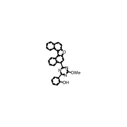 COc1nc(-c2ccccc2O)nc(-c2cc3oc4ccc5ccccc5c4c3c3ccccc23)n1